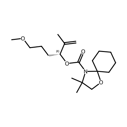 C=C(C)[C@@H](CCCOC)OC(=O)N1C(C)(C)COC12CCCCC2